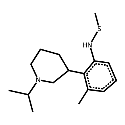 CSNc1cccc(C)c1C1CCCN(C(C)C)C1